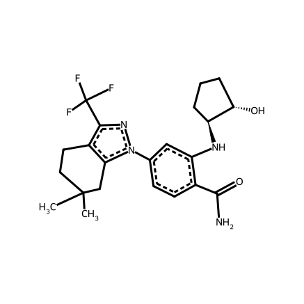 CC1(C)CCc2c(C(F)(F)F)nn(-c3ccc(C(N)=O)c(N[C@H]4CCC[C@@H]4O)c3)c2C1